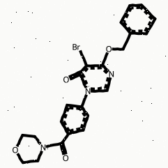 O=C(c1ccc(-n2cnc(OCc3ccccc3)c(Br)c2=O)cc1)N1CCOCC1